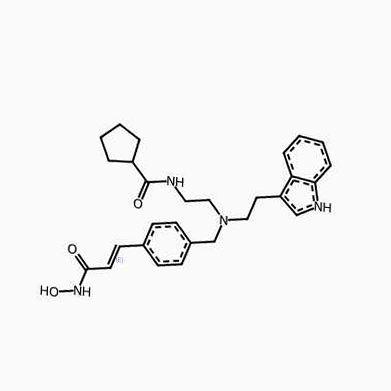 O=C(/C=C/c1ccc(CN(CCNC(=O)C2CCCC2)CCc2c[nH]c3ccccc23)cc1)NO